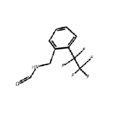 O=[C]NCc1ccccc1C(F)(F)C(F)(F)F